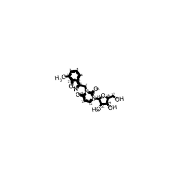 Cc1cccc2c(Cn3c(=O)ccn(C4OC(CO)C(O)C4O)c3=O)noc12